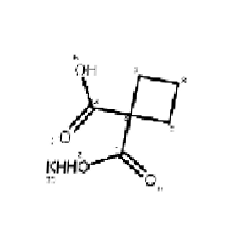 O=C(O)C1(C(=O)O)CCC1.[KH]